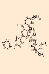 CCN(c1cc(-c2ccc(CN3CCOCC3)cc2)cc(C(=O)NCC2C(=O)NC(C)CC2C)c1C)[C@H]1CC[C@H](N)CC1